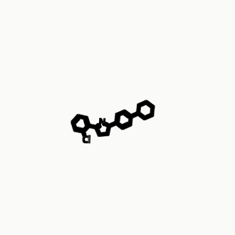 Clc1ccccc1C1=NC(c2ccc(C3CCCCC3)cc2)CC1